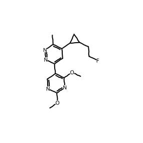 COc1ncc(-c2cc(C3CC3CCF)c(C)nn2)c(OC)n1